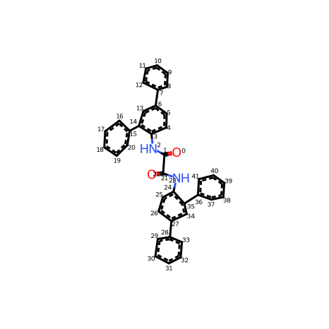 O=C(Nc1ccc(-c2ccccc2)cc1-c1ccccc1)C(=O)Nc1ccc(-c2ccccc2)cc1-c1ccccc1